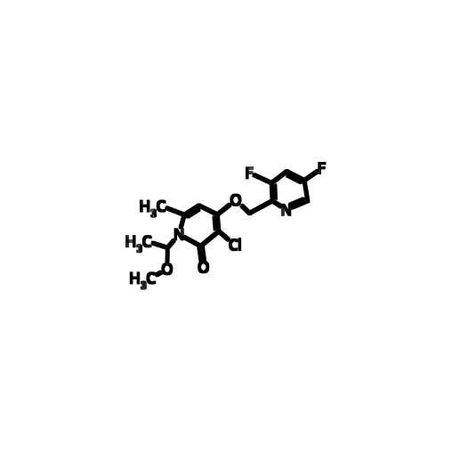 COC(C)n1c(C)cc(OCc2ncc(F)cc2F)c(Cl)c1=O